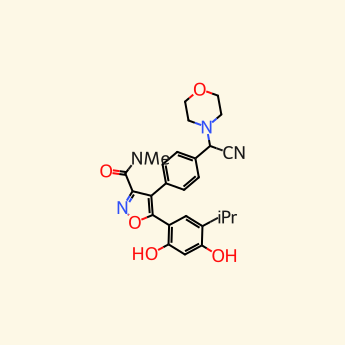 CNC(=O)c1noc(-c2cc(C(C)C)c(O)cc2O)c1-c1ccc(C(C#N)N2CCOCC2)cc1